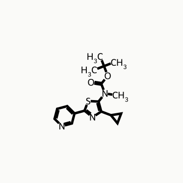 CN(C(=O)OC(C)(C)C)c1sc(-c2cccnc2)nc1C1CC1